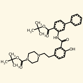 CC(C)(C)OC(=O)c1ccc(-c2ccccc2)cc1NC(=O)c1cc(CCN2CCN(C(=O)OC(C)(C)C)CC2)ccc1O